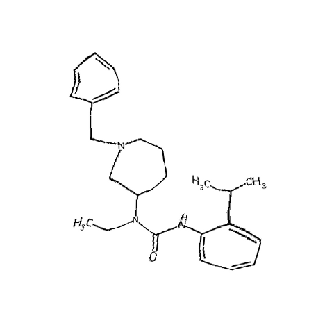 CCN(C(=O)Nc1ccccc1C(C)C)C1CCCN(Cc2ccccc2)C1